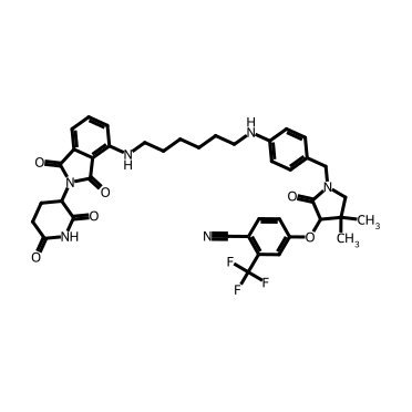 CC1(C)CN(Cc2ccc(NCCCCCCNc3cccc4c3C(=O)N(C3CCC(=O)NC3=O)C4=O)cc2)C(=O)C1Oc1ccc(C#N)c(C(F)(F)F)c1